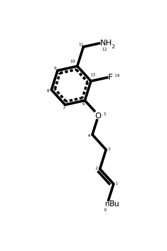 CCCCC=CCCOc1cccc(CN)c1F